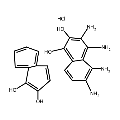 Cl.Nc1ccc2c(O)c(O)c(N)c(N)c2c1N.Oc1ccc2ccccc2c1O